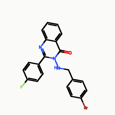 O=c1c2ccccc2nc(-c2ccc(F)cc2)n1NCc1ccc(Br)cc1